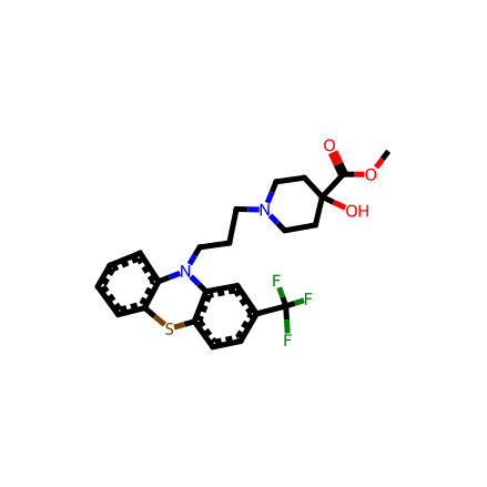 COC(=O)C1(O)CCN(CCCN2c3ccccc3Sc3ccc(C(F)(F)F)cc32)CC1